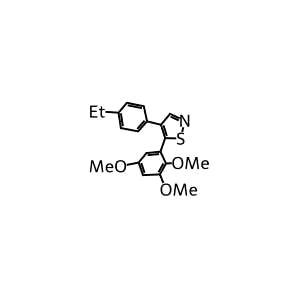 CCc1ccc(-c2cnsc2-c2cc(OC)cc(OC)c2OC)cc1